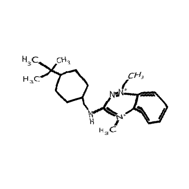 C[n+]1nc(NC2CCC(C(C)(C)C)CC2)[n+](C)c2ccccc21